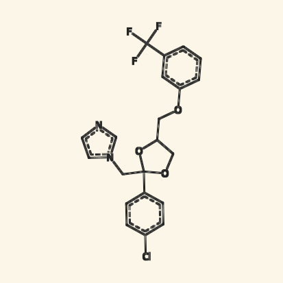 FC(F)(F)c1cccc(OCC2COC(Cn3ccnc3)(c3ccc(Cl)cc3)O2)c1